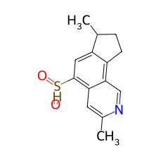 Cc1cc2c([SH](=O)=O)cc3c(c2cn1)CCC3C